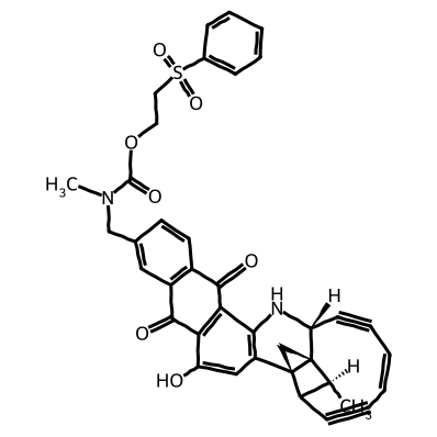 C[C@H]1C2C#C/C=C\C#C[C@H]3Nc4c(cc(O)c5c4C(=O)c4ccc(CN(C)C(=O)OCCS(=O)(=O)c6ccccc6)cc4C5=O)[C@@]24C[C@@]314